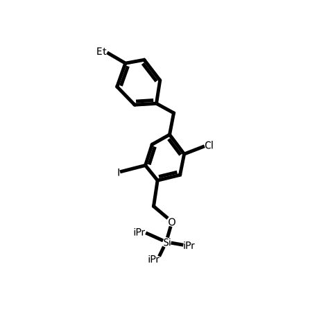 CCc1ccc(Cc2cc(I)c(CO[Si](C(C)C)(C(C)C)C(C)C)cc2Cl)cc1